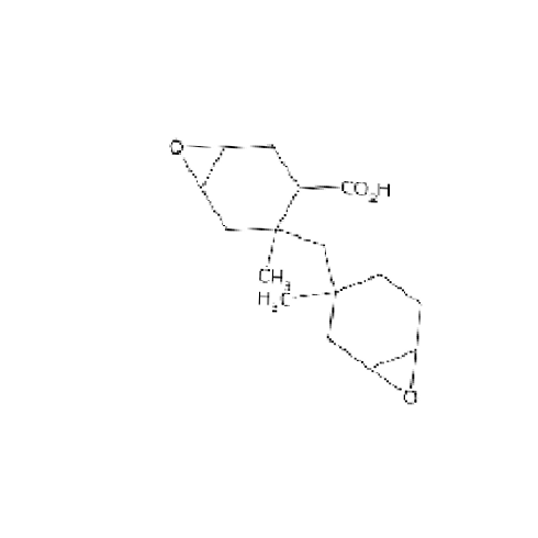 CC1(CC2(C)CC3OC3CC2C(=O)O)CCC2OC2C1